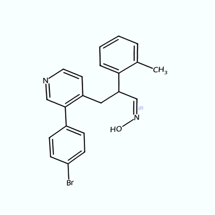 Cc1ccccc1C(/C=N\O)Cc1ccncc1-c1ccc(Br)cc1